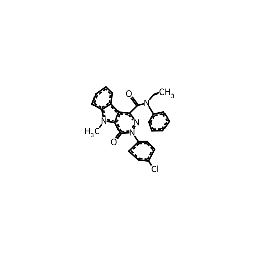 CCN(C(=O)c1nn(-c2ccc(Cl)cc2)c(=O)c2c1c1ccccc1n2C)c1ccccc1